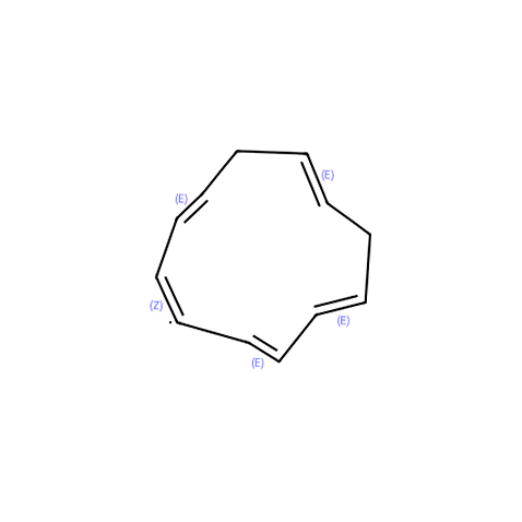 [C]1=C\C=C\C/C=C/C/C=C/C=C/1